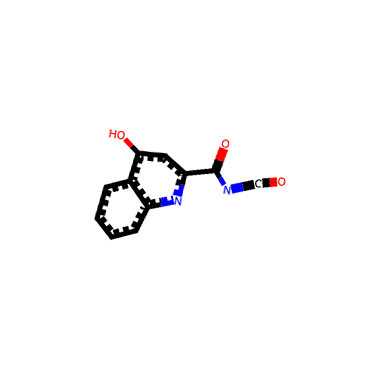 O=C=NC(=O)c1cc(O)c2ccccc2n1